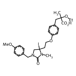 CCOC(C)(Cc1ccc(OCCC2(I)CN(Cc3ccc(OC)cc3)C(=O)N2C)cc1)C(=O)O